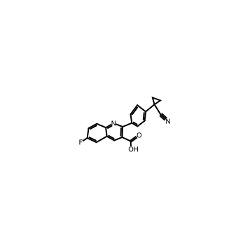 N#CC1(c2ccc(-c3nc4ccc(F)cc4cc3C(=O)O)cc2)CC1